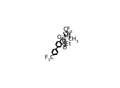 CCS(=O)(=O)c1cc(-c2ccc(C(F)(F)F)cc2)ccc1C(=O)/N=c1\sc(C(F)(F)F)nn1C